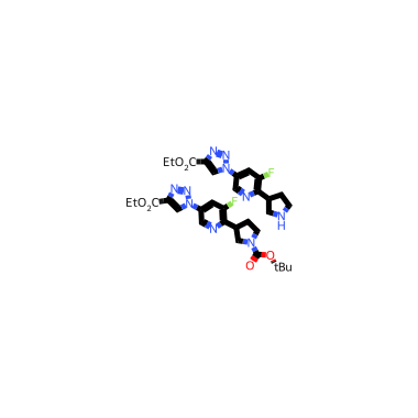 CCOC(=O)c1cn(-c2cnc(C3CCN(C(=O)OC(C)(C)C)C3)c(F)c2)nn1.CCOC(=O)c1cn(-c2cnc(C3CCNC3)c(F)c2)nn1